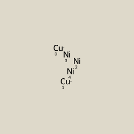 [Cu].[Cu].[Ni].[Ni].[Ni]